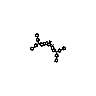 CC(C)c1c2oc3cc4cc(N(c5ccc(-c6ccccc6)cc5)c5ccc(-c6ccccc6)cc5)ccc4cc3c2cc2c1oc1cc3cc(N(c4ccc(-c5ccccc5)cc4)c4ccc(-c5ccccc5)cc4)ccc3cc12